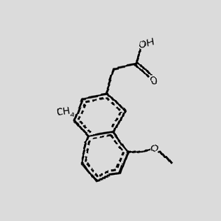 C.COc1cccc2ccc(CC(=O)O)cc12